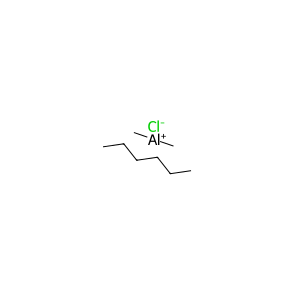 CCCCCC.[CH3][Al+][CH3].[Cl-]